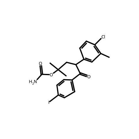 Cc1cc(C(CC(C)(C)OC(N)=O)C(=O)c2ccc(I)cc2)ccc1Cl